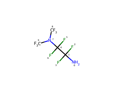 NC(F)(F)C(F)(F)N(C(F)(F)F)C(F)(F)F